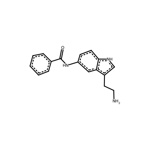 NCCc1c[nH]c2ccc(NC(=O)c3ccccc3)cc12